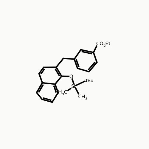 CCOC(=O)c1cccc(Cc2ccc3ccccc3c2O[Si](C)(C)C(C)(C)C)c1